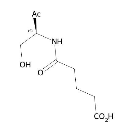 CC(=O)[C@H](CO)NC(=O)CCCC(=O)O